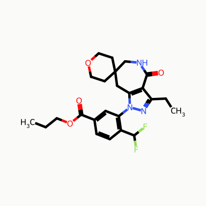 CCCOC(=O)c1ccc(C(F)F)c(-n2nc(CC)c3c2CC2(CCOCC2)CNC3=O)c1